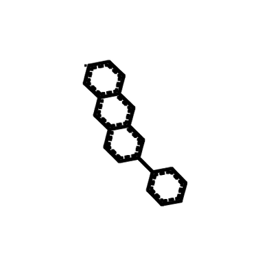 [c]1ccc2cc3cc(-c4ccccc4)ccc3cc2c1